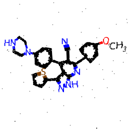 COc1ccc(-c2nc3[nH]nc(-c4cccs4)c3c(-c3ccc(N4CCNCC4)cc3)c2C#N)cc1